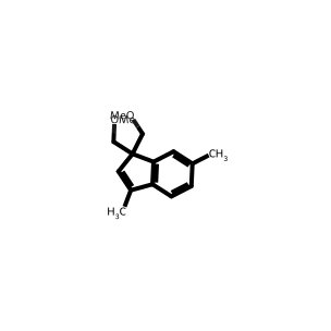 COCC1(COC)C=C(C)c2ccc(C)cc21